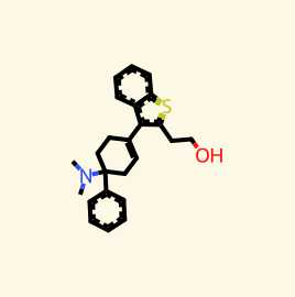 CN(C)C1(c2ccccc2)CC=C(c2c(CCO)sc3ccccc23)CC1